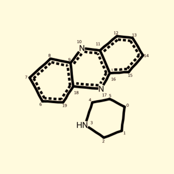 C1CCNCC1.c1ccc2nc3ccccc3nc2c1